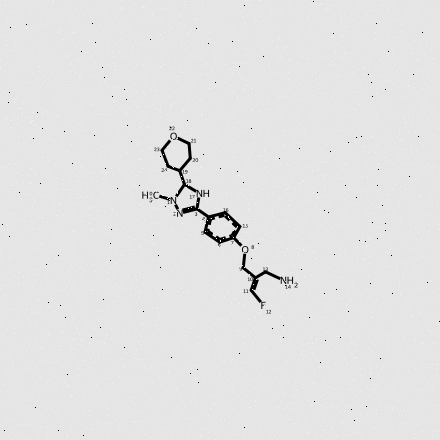 CN1N=C(c2ccc(OC/C(=C/F)CN)cc2)NC1C1CCOCC1